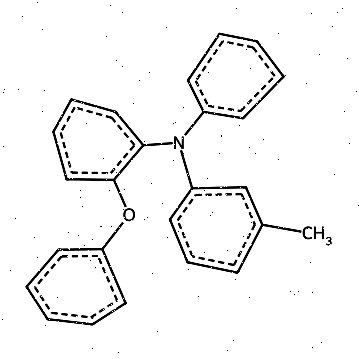 Cc1cccc(N(c2ccccc2)c2ccccc2Oc2ccccc2)c1